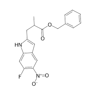 CC(Cc1cc2cc([N+](=O)[O-])c(F)cc2[nH]1)C(=O)OCc1ccccc1